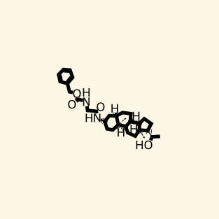 CC(O)[C@H]1CC[C@H]2[C@@H]3CC[C@H]4C[C@H](NC(=O)CNC(=O)OCc5ccccc5)CC[C@]4(C)[C@H]3CC[C@]12C